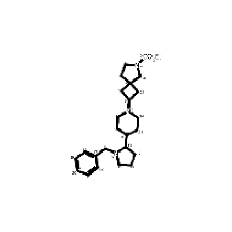 CCOC(=O)N1CCC2(CC(N3CCC(C4CCCN4Cc4ccccc4)CC3)C2)C1